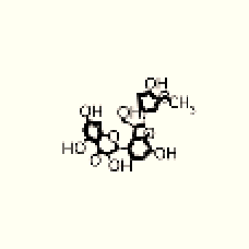 COc1cc([C@@H]2Oc3c(O)ccc([C@H]4Oc5cc(O)cc(O)c5C(=O)[C@@H]4O)c3[C@H]2CO)ccc1O